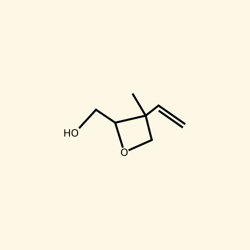 C=CC1(C)COC1CO